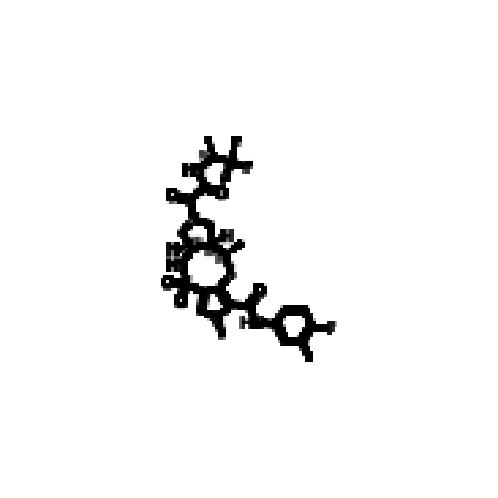 Cc1cc(NC(=O)c2c3c(cn2C)S(=O)(=O)N[C@H]2CN(C(=O)C(=O)N[C@@H](C)C(F)(F)F)C[C@H]2[C@@H](C)S3)ccc1F